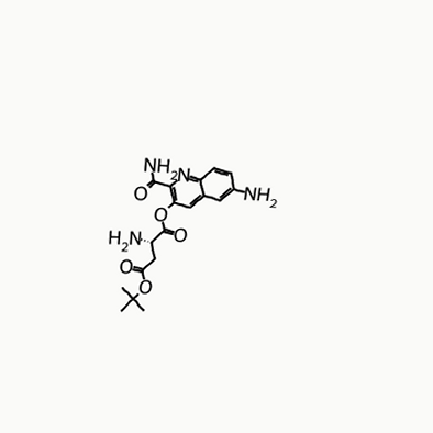 CC(C)(C)OC(=O)C[C@H](N)C(=O)Oc1cc2cc(N)ccc2nc1C(N)=O